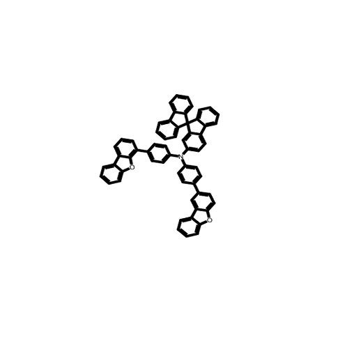 c1ccc2c(c1)-c1ccccc1C21c2ccccc2-c2ccc(N(c3ccc(-c4ccc5oc6ccccc6c5c4)cc3)c3ccc(-c4cccc5c4oc4ccccc45)cc3)cc21